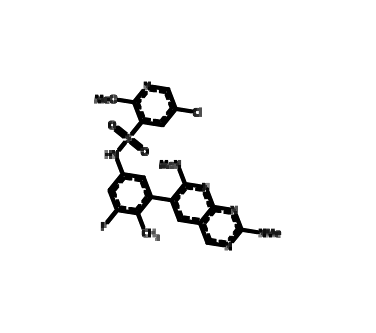 CNc1ncc2cc(-c3cc(NS(=O)(=O)c4cc(Cl)cnc4OC)cc(F)c3C)c(NC)nc2n1